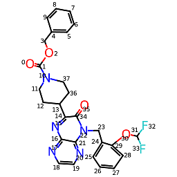 O=C(OCc1ccccc1)N1CCC(c2nc3nccnc3n(Cc3ccccc3OC(F)F)c2=O)CC1